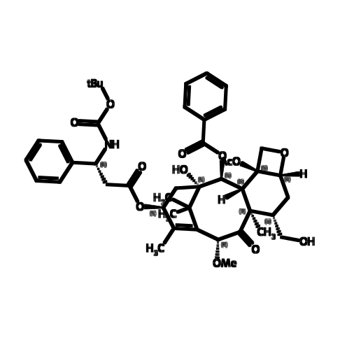 CO[C@H]1C(=O)[C@]2(C)[C@@H](CO)C[C@H]3OC[C@@]3(OC(C)=O)[C@H]2[C@H](OC(=O)c2ccccc2)[C@]2(O)C[C@H](OC(=O)C[C@@H](NC(=O)OC(C)(C)C)c3ccccc3)C(C)=C1C2(C)C